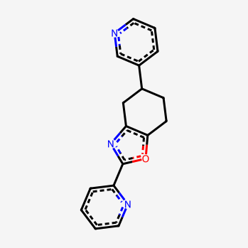 c1ccc(-c2nc3c(o2)CCC(c2cccnc2)C3)nc1